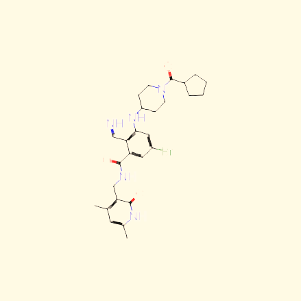 Cc1cc(C)c(CNC(=O)c2cc(Br)cc(NC3CCN(C(=O)C4CCCC4)CC3)c2C=N)c(=O)[nH]1